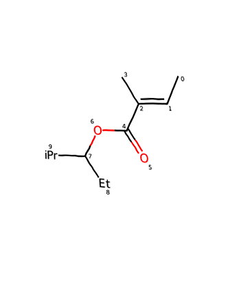 C/C=C(\C)C(=O)OC(CC)C(C)C